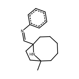 CC12CCCCCC(/C=N\c3ccccc3)(CC1)N2